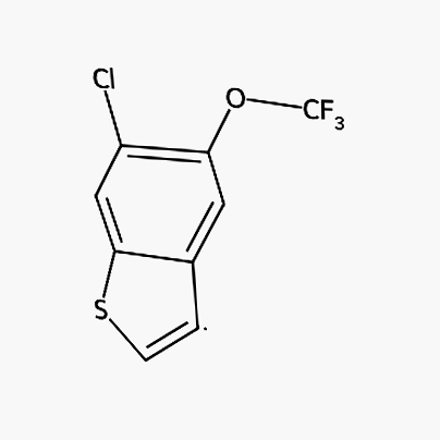 FC(F)(F)Oc1cc2[c]csc2cc1Cl